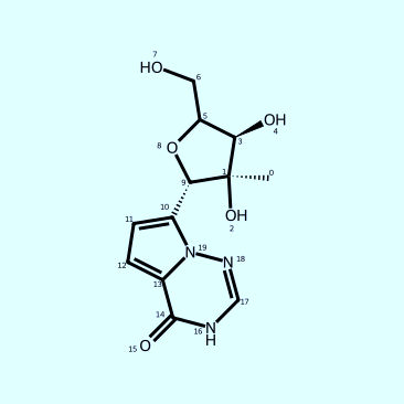 C[C@@]1(O)[C@H](O)C(CO)O[C@H]1c1ccc2c(=O)[nH]cnn12